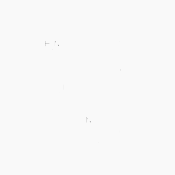 Nc1cccc(-c2cscn2)c1F